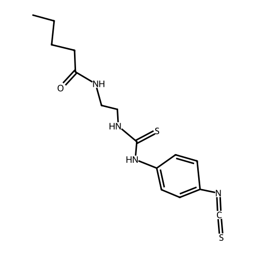 CCCCC(=O)NCCNC(=S)Nc1ccc(N=C=S)cc1